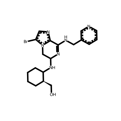 OC[C@H]1CCCCC1NC1Cn2c(Br)cnc2C(NCc2cccnc2)=N1